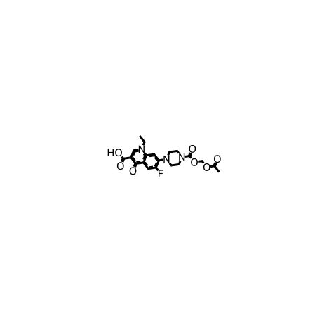 CCn1cc(C(=O)O)c(=O)c2cc(F)c(N3CCN(C(=O)OCOC(C)=O)CC3)cc21